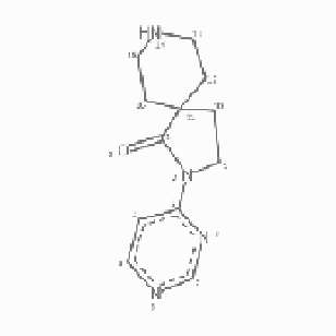 O=C1N(c2ccncn2)CCC12CCNCC2